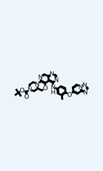 Cc1cc(Nc2ncnc3cnc4c(c23)OCC2CN(C(=O)OC(C)(C)C)CCN42)ccc1Oc1ccn2ncnc2c1